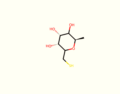 C[C@H]1OC(CS)[C@H](O)[C@H](O)C1O